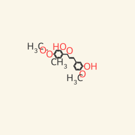 COCOc1cc(O)c(C(=O)/C=C/c2ccc(OC)c(O)c2)cc1C